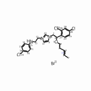 C/C=C/CCOC(Cn1cc[n+](CCNc2ccc(Cl)cc2)c1)c1ccc(Cl)cc1Cl.[Br-]